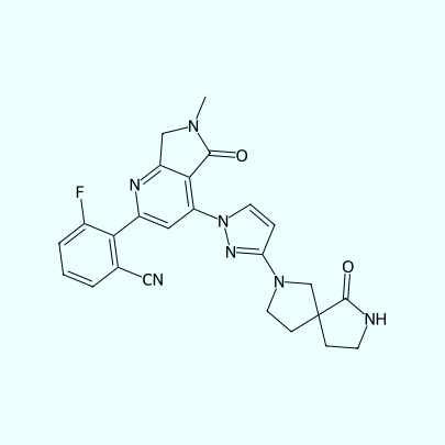 CN1Cc2nc(-c3c(F)cccc3C#N)cc(-n3ccc(N4CCC5(CCNC5=O)C4)n3)c2C1=O